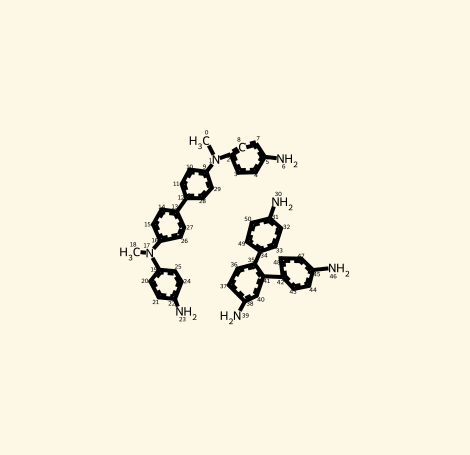 CN(c1ccc(N)cc1)c1ccc(-c2ccc(N(C)c3ccc(N)cc3)cc2)cc1.Nc1ccc(-c2ccc(N)cc2-c2ccc(N)cc2)cc1